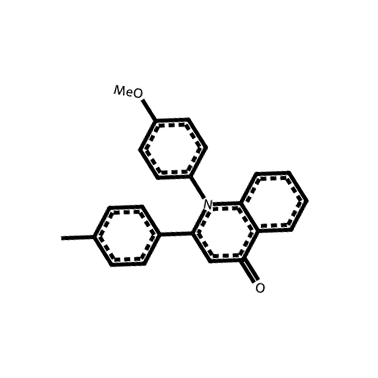 COc1ccc(-n2c(-c3ccc(C)cc3)cc(=O)c3ccccc32)cc1